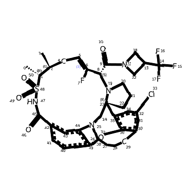 C[C@@H]1[C@@H](C)C/C=C(\F)[C@H](C(=O)N2CC(C(F)(F)F)C2)N2CCC[C@@]23CN2CCCCc4cc(Cl)cc3c4COc3ccc(cc32)C(=O)NS1(=O)=O